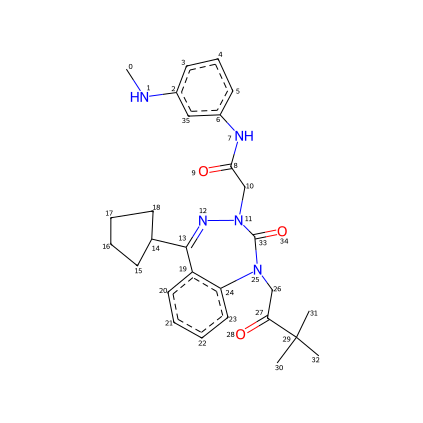 CNc1cccc(NC(=O)CN2N=C(C3CCCC3)c3ccccc3N(CC(=O)C(C)(C)C)C2=O)c1